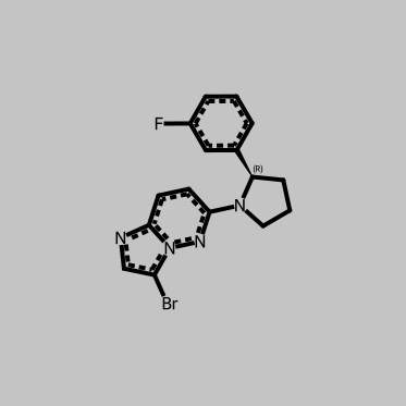 Fc1cccc([C@H]2CCCN2c2ccc3ncc(Br)n3n2)c1